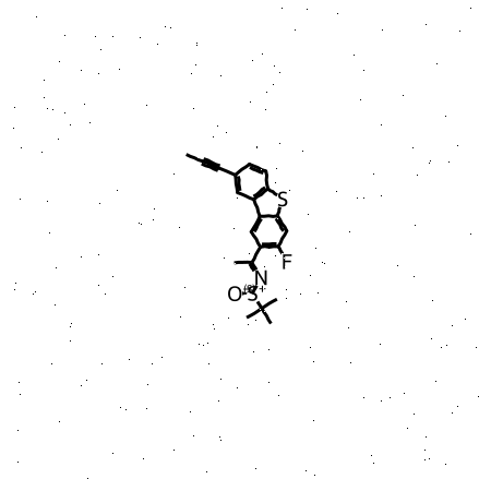 CC#Cc1ccc2sc3cc(F)c(C(C)=N[S@+]([O-])C(C)(C)C)cc3c2c1